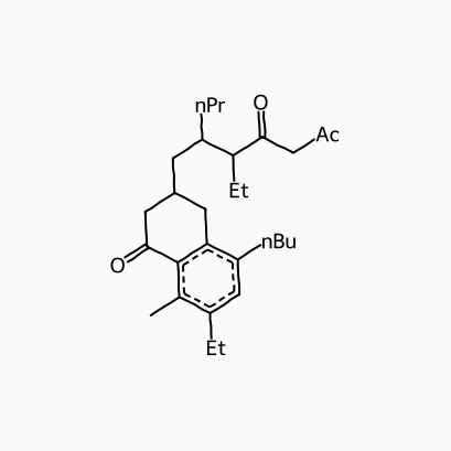 CCCCc1cc(CC)c(C)c2c1CC(CC(CCC)C(CC)C(=O)CC(C)=O)CC2=O